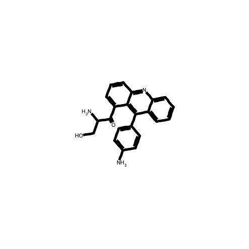 Nc1ccc(-c2c3ccccc3nc3cccc(C(=O)C(N)CO)c23)cc1